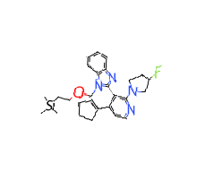 C[Si](C)(C)CCOCn1c(-c2c(C3=CCCC3)ccnc2N2CCC(F)C2)nc2ccccc21